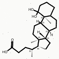 C[C@H](CCC(=O)O)[C@H]1CC[C@H]2[C@@H]3CCC4CCCC(O)(O)[C@]4(C)[C@H]3CC[C@]12C